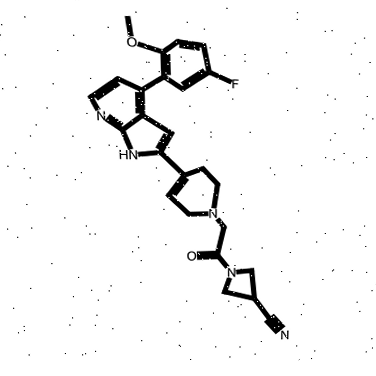 COc1ccc(F)cc1-c1ccnc2[nH]c(C3=CCN(CC(=O)N4CC(C#N)C4)CC3)cc12